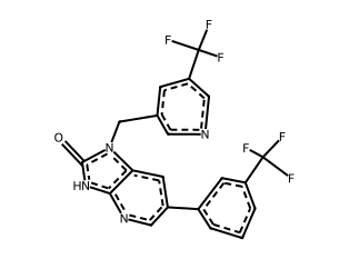 O=c1[nH]c2ncc(-c3cccc(C(F)(F)F)c3)cc2n1Cc1cncc(C(F)(F)F)c1